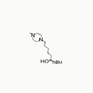 CCCC[C@@H](O)CCCCCN1CCN(C)CC1